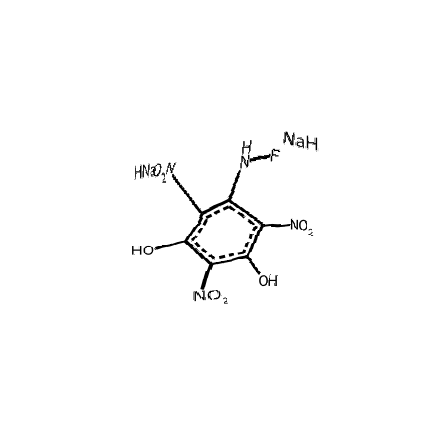 O=[N+]([O-])c1c(O)c([N+](=O)[O-])c(NF)c([N+](=O)[O-])c1O.[NaH].[NaH]